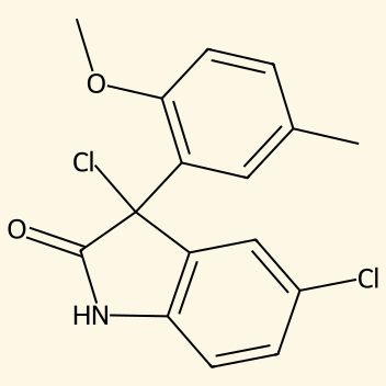 COc1ccc(C)cc1C1(Cl)C(=O)Nc2ccc(Cl)cc21